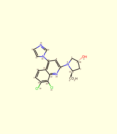 O=C(O)[C@@H]1C[C@@H](O)CN1c1cc(-n2ccnc2)c2ccc(Cl)c(Cl)c2n1